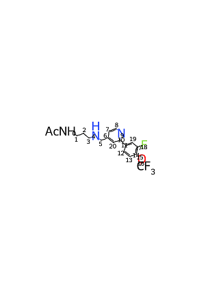 CC(=O)NCCCNCc1ccnc(-c2ccc(OC(F)(F)F)c(F)c2)c1